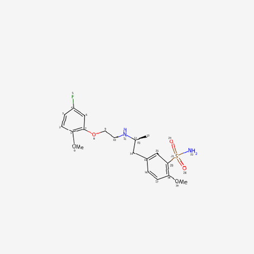 COc1ccc(F)cc1OCCN[C@@H](C)Cc1ccc(OC)c(S(N)(=O)=O)c1